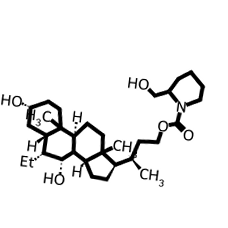 CC[C@H]1[C@@H](O)C2[C@@H]3CC[C@H]([C@H](C)CCOC(=O)N4CCCCC4CO)C3(C)CC[C@@H]2C2(C)CC[C@@H](O)C[C@@H]12